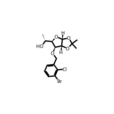 C[C@@H](O)[C@H]1O[C@@H]2OC(C)(C)O[C@@H]2[C@H]1OCc1cccc(Br)c1Cl